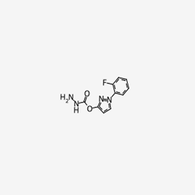 NNC(=O)Oc1ccn(-c2ccccc2F)n1